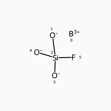 [B+3].[O-][Si]([O-])([O-])F